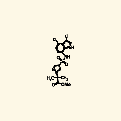 COC(=O)C(C)(C)n1cc(S(=O)(=O)Nc2ccc(Cl)c3c(Cl)c[nH]c23)cn1